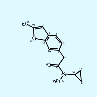 CCCN(C(=O)Cc1ccc2cc(CC)oc2c1)C1CC1